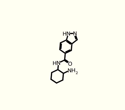 NC1CCCCC1NC(=O)c1ccc2[nH]ncc2c1